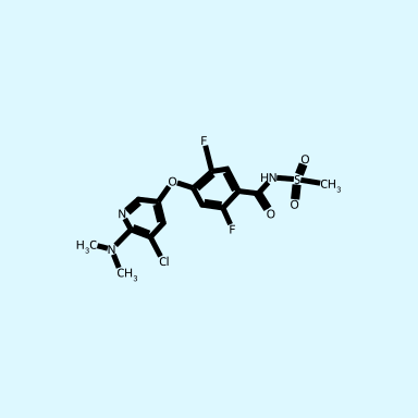 CN(C)c1ncc(Oc2cc(F)c(C(=O)NS(C)(=O)=O)cc2F)cc1Cl